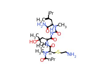 C=C(C[C@H](C(N)=O)N(C)C(=O)NC(=O)[C@H](CC(C)(C)O)N(C)C(=O)[C@@H](CSCCN)N(C)C(=O)CCC)C(C)C